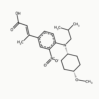 CO[C@H]1CC[C@@H](N(CC(C)C)c2ccc(/C(C)=C/C(=O)O)cc2[N+](=O)[O-])CC1